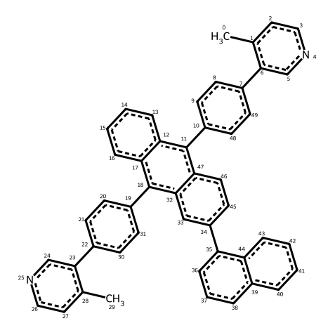 Cc1ccncc1-c1ccc(-c2c3ccccc3c(-c3ccc(-c4cnccc4C)cc3)c3cc(-c4cccc5ccccc45)ccc23)cc1